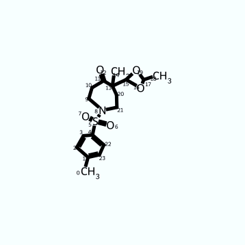 Cc1ccc(S(=O)(=O)N2CCC(=O)C(C)(C3OC(C)O3)CC2)cc1